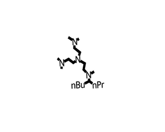 CCCCC(CCC)N(C)CCN(CCN(C)C)CCN(C)C